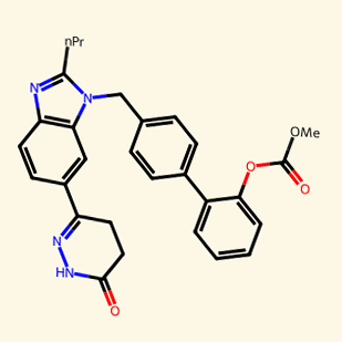 CCCc1nc2ccc(C3=NNC(=O)CC3)cc2n1Cc1ccc(-c2ccccc2OC(=O)OC)cc1